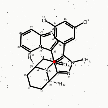 Cn1nc2c(c1-c1cc(Cl)cc(Cl)c1)C[C@@H]1CCC[C@H]2N1C(=O)c1cnc2ccccn12